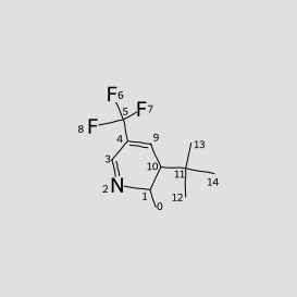 CC1N=CC(C(F)(F)F)=CC1C(C)(C)C